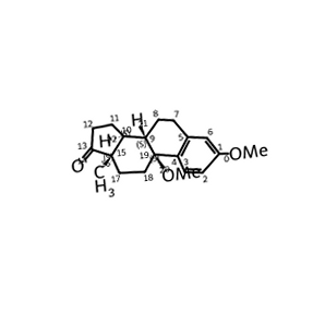 COc1ccc2c(c1)CC[C@H]1[C@@H]3CCC(=O)[C@@]3(C)CC[C@@]21OC